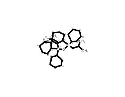 CC(C)C[Si](O[Si](CC(C)C)(C1CCCCC1)C1CCCCC1)(C1CCCCC1)C1CCCCC1